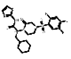 O=C(Nc1nccs1)[C@H](CC1CCCCC1)N1CCN(S(=O)(=O)c2cc(F)c(Cl)cc2F)CC1=O